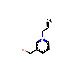 C=CC[n+]1cccc(CO)c1